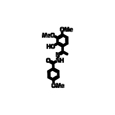 COc1ccc(C(=O)N/N=C(\C)c2ccc(OC)c(OC)c2O)cc1